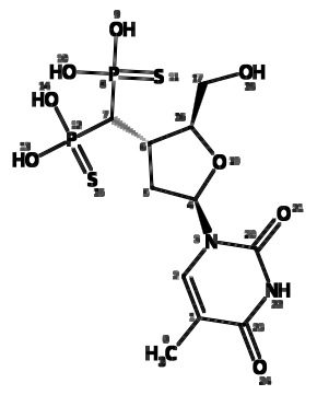 Cc1cn([C@H]2C[C@H](C(P(O)(O)=S)P(O)(O)=S)[C@@H](CO)O2)c(=O)[nH]c1=O